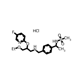 CCOCC(CNCc1ccc(C(C)NS(C)(=O)=O)cc1)Oc1ccc(F)cn1.Cl